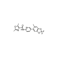 Cc1nc(C(=O)Nc2ccc(-c3cc4c(cc3C)OC(F)(F)O4)cn2)c(C)o1